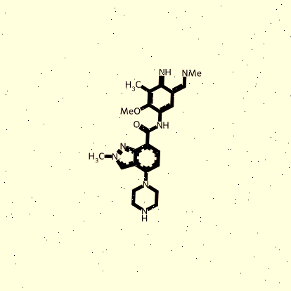 CN/C=C1/C=C(NC(=O)c2ccc(N3CCNCC3)c3cn(C)nc23)C(OC)=C(C)C1=N